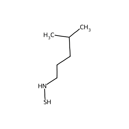 CC(C)CCCNS